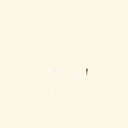 CN1C(C(O)N[C@H](CO)c2ccc(C(=O)O)cc2)=CC2C(Cl)=C(Cl)C=C[C@]21C